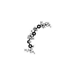 CC(C)Oc1ccc(-c2ccc(C(=O)N[C@H](Cc3ccc(-c4noc(-c5ccc(NC(=O)OC(C)(C)C)cc5)n4)c(F)c3)C(=O)O)o2)cc1F